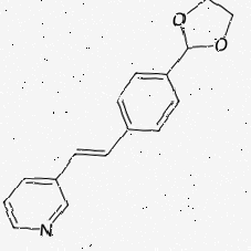 C(=C\c1cccnc1)/c1ccc(C2OCCO2)cc1